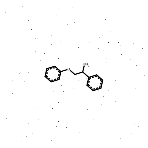 NC(COc1ccccc1)c1ccccc1